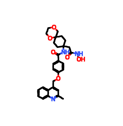 Cc1cc(COc2ccc(C(=O)NC3(CC(=O)NO)CCC4(CC3)COCCO4)cc2)c2ccccc2n1